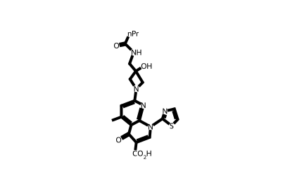 CCCC(=O)NCC1(O)CN(c2cc(C)c3c(=O)c(C(=O)O)cn(-c4nccs4)c3n2)C1